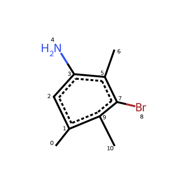 Cc1cc(N)c(C)c(Br)c1C